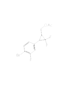 CC(=O)OCC1C(c2ccc(Br)c(F)c2)C1(F)F